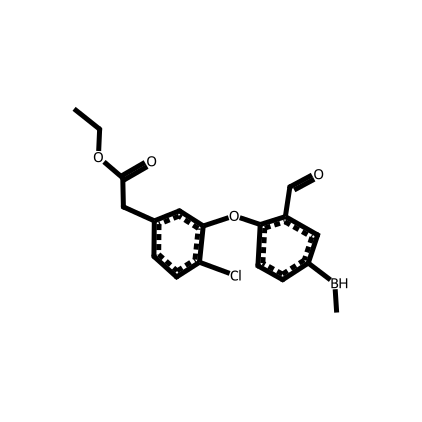 CBc1ccc(Oc2cc(CC(=O)OCC)ccc2Cl)c(C=O)c1